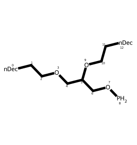 CCCCCCCCCCCCOCC(COP)OCCCCCCCCCCCC